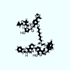 Cc1ncsc1-c1ccc(CNC(=O)[C@@H]2C[C@@H](O)CN2C(=O)[C@@H](NC(=O)C2(F)CC2)C(C)(C)C)c(OCCCCCCCCN(C)CCOC23CC4(C)CC(C)(CC(Cn5ncc(-c6ccc(N7CCCc8c7nnc(Nc7nc9ccccc9s7)c8C)nc6C(=O)O)c5C)(C4)C2)C3)c1